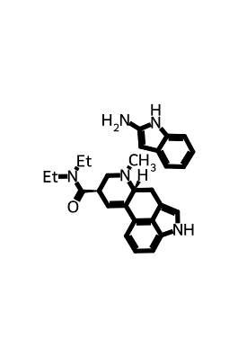 CCN(CC)C(=O)[C@@H]1C=C2c3cccc4[nH]cc(c34)C[C@H]2N(C)C1.Nc1cc2ccccc2[nH]1